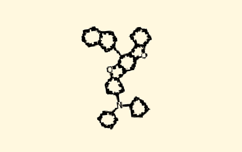 c1ccc(N(c2ccccc2)c2ccc3oc4c(-c5ccc6ccccc6c5)c5c(cc4c3c2)oc2ccccc25)cc1